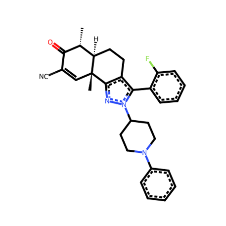 C[C@H]1C(=O)C(C#N)=C[C@@]2(C)c3nn(C4CCN(c5ccccc5)CC4)c(-c4ccccc4F)c3CC[C@H]12